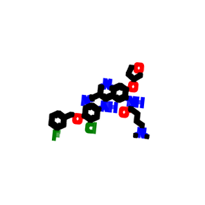 CN(C)C/C=C/C(=O)Nc1cc2c(Nc3ccc(OCc4cccc(F)c4)c(Cl)c3)c(C#N)cnc2cc1OC1CCOC1